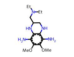 CCN(CC)CC1CNc2c(N)c(OC)c(OC)c(N)c2N1